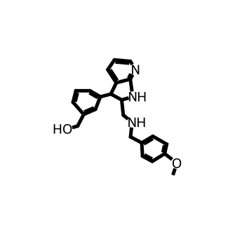 COc1ccc(CNCC2Nc3ncccc3C2c2cccc(CO)c2)cc1